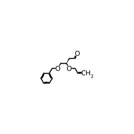 C=CCO[C@H](CC=O)COCc1ccccc1